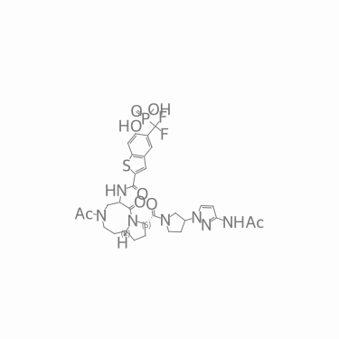 CC(=O)Nc1ccn(C2CCN(C(=O)[C@@H]3CC[C@@H]4CCN(C(C)=O)CC(NC(=O)c5cc6cc(C(F)(F)P(=O)(O)O)ccc6s5)C(=O)N43)C2)n1